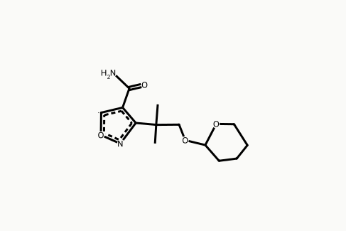 CC(C)(COC1CCCCO1)c1no[c]c1C(N)=O